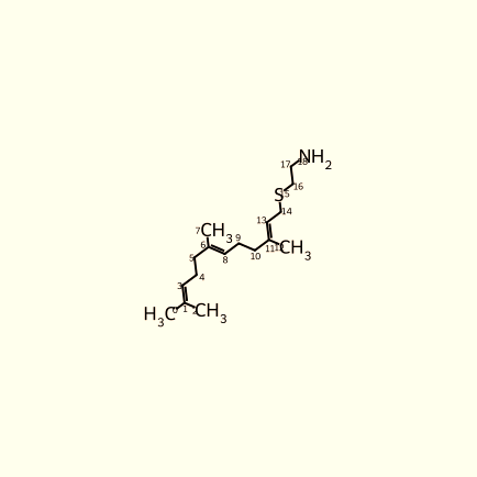 CC(C)=CCCC(C)=CCCC(C)=CCSCCN